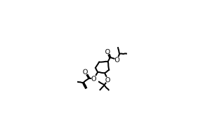 C=C(C)C(=O)OC1CCC(C(=O)OC(C)C)CC1OC(C)(C)C